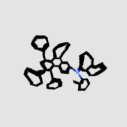 CC1=C(N(c2ccc3c(c2)c2ccccc2c2c(-c4ccccc4)cc(-c4ccccc4)c(-c4ccccc4)c32)c2cccc3ccccc23)C=CCC1